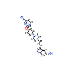 N#Cc1ccc2[nH]cc(CCCN3CCN(c4ccc(Oc5nccc(C#N)n5)cc4)CC3)c2c1